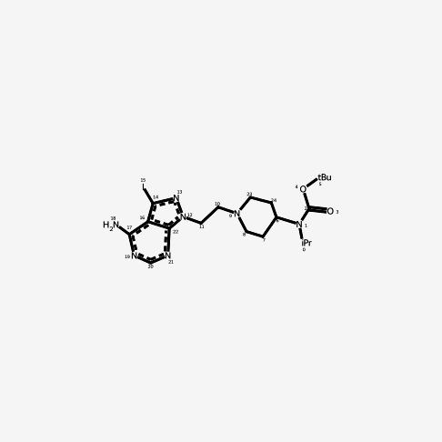 CC(C)N(C(=O)OC(C)(C)C)C1CCN(CCn2nc(I)c3c(N)ncnc32)CC1